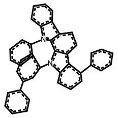 c1ccc(-c2cccc(-n3c4cccc(-c5ccccc5)c4c4ccc5c6ccccc6n(-c6ccccc6)c5c43)c2)cc1